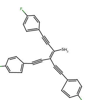 Fc1ccc(C#CC([SiH3])=C(C#Cc2ccc(F)cc2)C#Cc2ccc(F)cc2)cc1